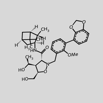 COc1c(CN2O[C@@H](CO)[C@@H]([C@H](C)O)[C@@H]2C(=O)N[C@H]2C[C@H]3C[C@@H]([C@@H]2C)C3(C)C)cccc1-c1cccc2c1OCO2